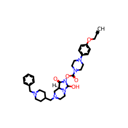 C#CCOc1ccc(N2CCN(C(=O)ON3C(=O)[C@@H]4CN(CC5CCN(Cc6ccccc6)CC5)CCN4C3O)CC2)cc1